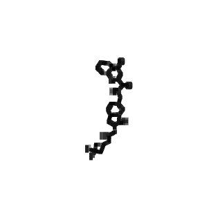 O=C(NCc1ccc2cc(CNCC3CC(F)(F)C3)[nH]c2c1)c1cc(=O)n2ccccc2n1